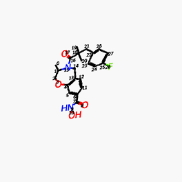 CC1COc2cc(C(=O)NO)ccc2CN1C(=O)C(C)(C)Cc1ccc(F)cc1